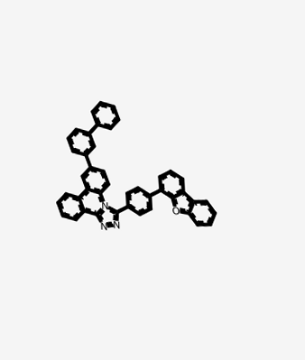 c1ccc(-c2cccc(-c3ccc4c(c3)c3ccccc3c3nnc(-c5ccc(-c6cccc7c6oc6ccccc67)cc5)n43)c2)cc1